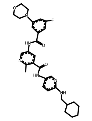 Cc1ncc(NC(=O)c2cc(F)cc(N3CCOCC3)c2)cc1C(=O)Nc1ccc(NCC2CCCCC2)nc1